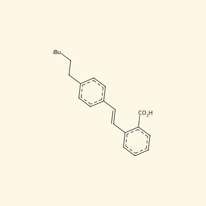 CCC(C)CCc1ccc(/C=C/c2ccccc2C(=O)O)cc1